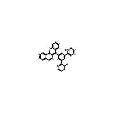 CC1CC=CN=C1c1cc(C2=CC=CCN2)cc(-c2c3ccccc3nc3c2ccc2ccccc23)c1